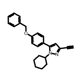 C#Cc1cc(-c2ccc(OCc3ccccc3)cc2)n(C2CCCCC2)n1